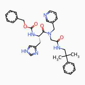 CC(C)(CNC(=O)CN(Cc1cccnc1)C(=O)[C@H](Cc1c[nH]cn1)NC(=O)OCc1ccccc1)c1ccccc1